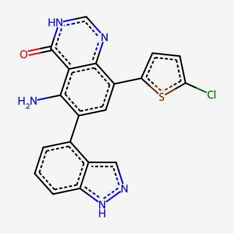 Nc1c(-c2cccc3[nH]ncc23)cc(-c2ccc(Cl)s2)c2nc[nH]c(=O)c12